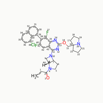 C=CC(=O)N1CCC2[C@H]1CN2c1nc(OCC23CCCN2CCC3)nc2c(F)c(-c3cccc4cccc(Cl)c34)c(F)cc12